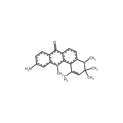 CC1=CC(C)(C)N(C)c2ccc3c(=O)c4ccc(N)cc4n(C)c3c21